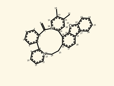 C=C1c2ccccc2-c2cccc[n+]2CCc2ccc3c(oc4ccccc43)c2-c2cc(C)c(C)c[n+]21